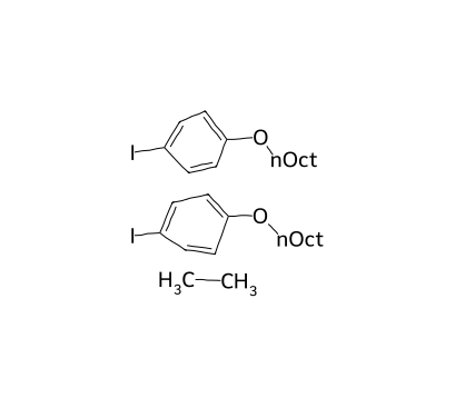 CC.CCCCCCCCOc1ccc(I)cc1.CCCCCCCCOc1ccc(I)cc1